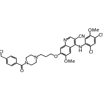 COc1cc(Nc2c(C#N)cnc3cc(OCCCN4CCN(C(=O)c5ccc(CCl)cc5)CC4)c(OC)cc23)c(Cl)cc1Cl